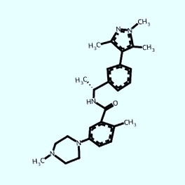 Cc1ccc(N2CCN(C)CC2)cc1C(=O)N[C@H](C)c1cccc(-c2c(C)nn(C)c2C)c1